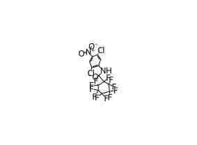 O=C(Nc1cc(Cl)c([N+](=O)[O-])cc1Cl)C1(F)C(F)(F)C(F)(F)C(F)(F)C(F)(F)C1(F)F